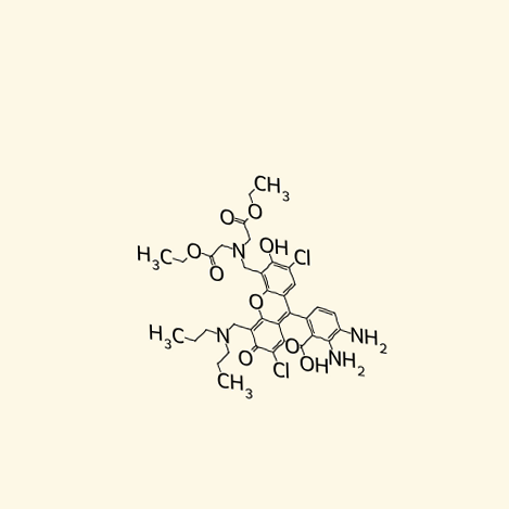 CCCN(CCC)Cc1c2oc3c(CN(CC(=O)OCC)CC(=O)OCC)c(O)c(Cl)cc3c(-c3ccc(N)c(N)c3C(=O)O)c-2cc(Cl)c1=O